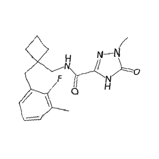 Cc1cccc(CC2(CNC(=O)c3nn(C)c(=O)[nH]3)CCC2)c1F